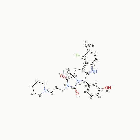 COc1ccc2[nH]c3c(c2c1F)C[C@@]1(C)C(=O)N(CCCN2CCCCC2)C(=O)N1[C@@H]3c1cccc(O)c1